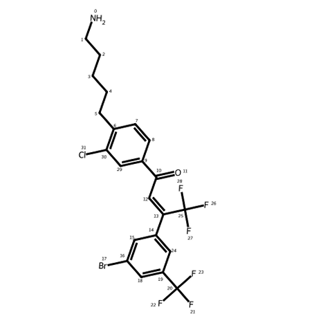 NCCCCCc1ccc(C(=O)C=C(c2cc(Br)cc(C(F)(F)F)c2)C(F)(F)F)cc1Cl